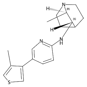 Cc1cscc1-c1ccc(N[C@H]2C3CCN(CC3)[C@@H]2C)nc1